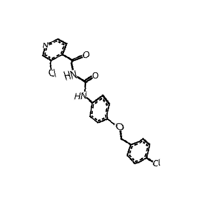 O=C(NC(=O)c1ccncc1Cl)Nc1ccc(OCc2ccc(Cl)cc2)cc1